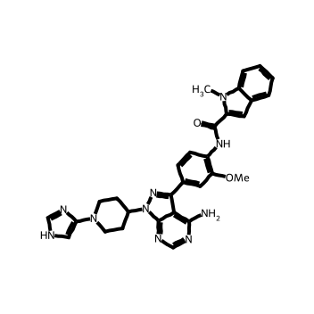 COc1cc(-c2nn(C3CCN(c4c[nH]cn4)CC3)c3ncnc(N)c23)ccc1NC(=O)c1cc2ccccc2n1C